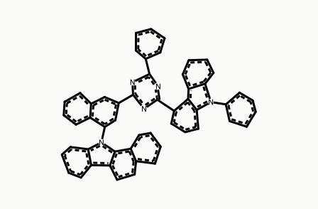 c1ccc(-c2nc(-c3cc(-n4c5ccccc5c5ccc6ccccc6c54)c4ccccc4c3)nc(-c3cccc4c3c3ccccc3n4-c3ccccc3)n2)cc1